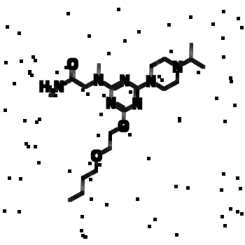 CCCCOCCOc1nc(N(C)CC(N)=O)nc(N2CCN(C(C)C)CC2)n1